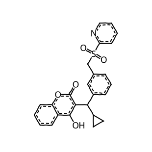 O=c1oc2ccccc2c(O)c1C(c1cccc(CS(=O)(=O)c2ccccn2)c1)C1CC1